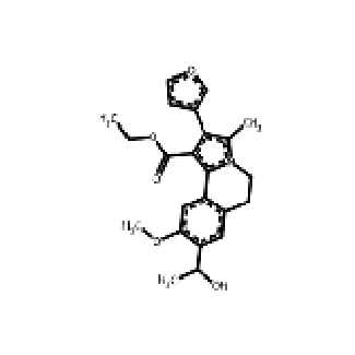 CCOC(=O)c1c(-c2ccoc2)c(C)n2c1-c1cc(OC)c(C(C)O)cc1CC2